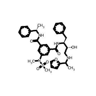 CC(NC[C@@H](O)[C@H](Cc1ccccc1)NC(=O)c1cc(C(=O)N[C@@H](C)c2ccccc2)cc(N(C)S(C)(=O)=O)c1)c1ccco1